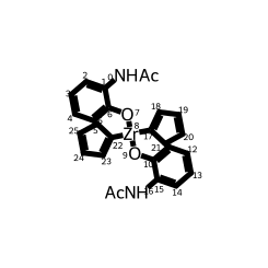 CC(=O)Nc1ccccc1[O][Zr]([O]c1ccccc1NC(C)=O)([C]1=CC=CC1)[C]1=CC=CC1